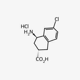 Cl.N[C@@H]1C[C@@H](C(=O)O)Cc2ccc(Cl)cc21